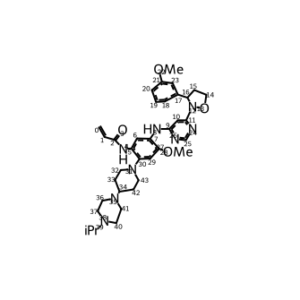 C=CC(=O)Nc1cc(Nc2cc(N3OCCC3c3cccc(OC)c3)ncn2)c(OC)cc1N1CCC(N2CCN(C(C)C)CC2)CC1